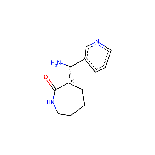 NC(c1cccnc1)[C@@H]1CCCCNC1=O